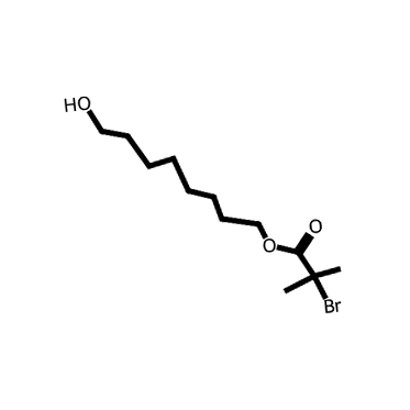 CC(C)(Br)C(=O)OCCCCCCCCO